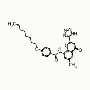 C=CCCCCCCOc1ccc(C(=O)Nc2cc(C)cc3c(=O)cc(-c4nnn[nH]4)oc23)cc1